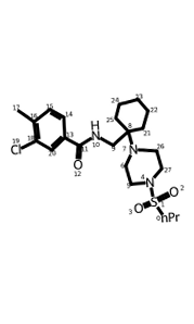 CCCS(=O)(=O)N1CCN(C2(CNC(=O)c3ccc(C)c(Cl)c3)CCCCC2)CC1